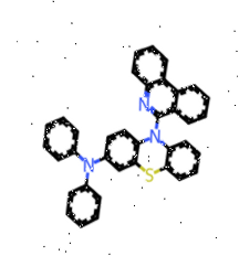 c1ccc(N(c2ccccc2)c2ccc3c(c2)Sc2ccccc2N3c2nc3ccccc3c3ccccc23)cc1